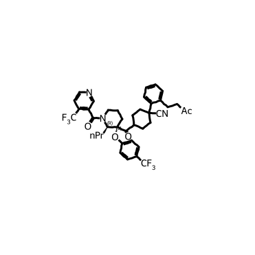 CCC[C@H]1N(C(=O)c2cnccc2C(F)(F)F)CCC[C@@]1(Oc1ccc(C(F)(F)F)cc1)C(=O)C1CCC(C#N)(c2ccccc2CCC(C)=O)CC1